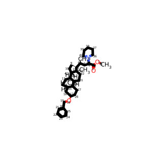 COC(=O)C(C[C@@H](C)[C@H]1CC[C@H]2[C@@H]3CC[C@@H]4C[C@H](OCc5ccccc5)CC[C@]4(C)[C@H]3CC[C@]12C)N1CCCCC1